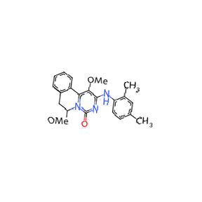 COc1c(Nc2ccc(C)cc2C)nc(=O)n2c1-c1ccccc1CC2OC